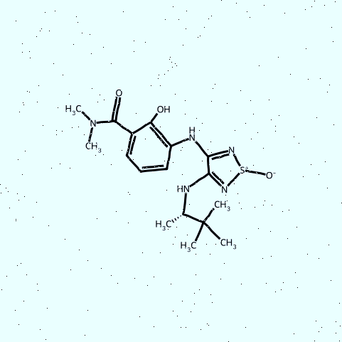 C[C@H](Nc1n[s+]([O-])nc1Nc1cccc(C(=O)N(C)C)c1O)C(C)(C)C